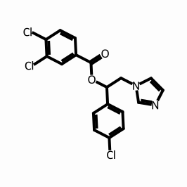 O=C(OC(Cn1ccnc1)c1ccc(Cl)cc1)c1ccc(Cl)c(Cl)c1